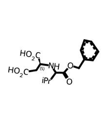 CC(C)C(N[C@@H](CC(=O)O)C(=O)O)C(=O)OCc1ccccc1